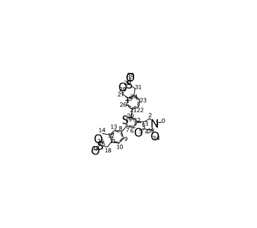 CN1Cc2c(oc3c(-c4ccc5c(c4)COS(=O)C5)sc(-c4ccc5c(c4)COS(=O)C5)c23)C1=O